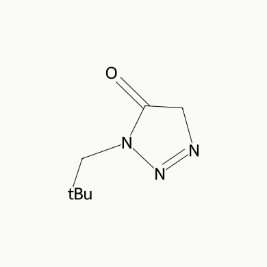 CC(C)(C)CN1N=NCC1=O